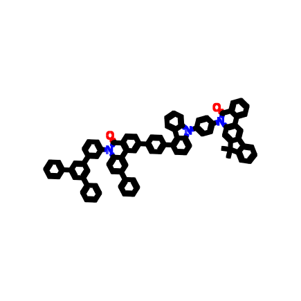 CC1(C)c2ccccc2-c2cc3c4ccccc4c(=O)n(-c4ccc(-n5c6ccccc6c6c(-c7ccc(-c8ccc9c(=O)n(-c%10cccc(-c%11cc(-c%12ccccc%12)cc(-c%12ccccc%12)c%11)c%10)c%10ccc(-c%11ccccc%11)cc%10c9c8)cc7)cccc65)cc4)c3cc21